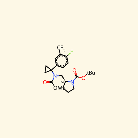 COC(=O)N(C[C@@H]1CCCN1C(=O)OC(C)(C)C)C1(c2ccc(F)c(C(F)(F)F)c2)CC1